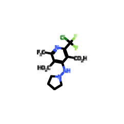 O=C(O)c1c(C(F)(F)F)nc(C(F)(F)Cl)c(C(=O)O)c1NN1CCCC1